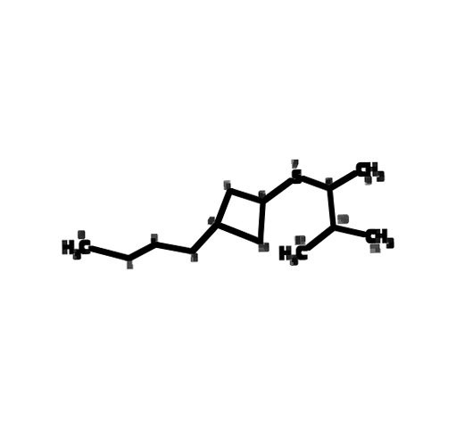 CCCCC1CC(SC(C)C(C)C)C1